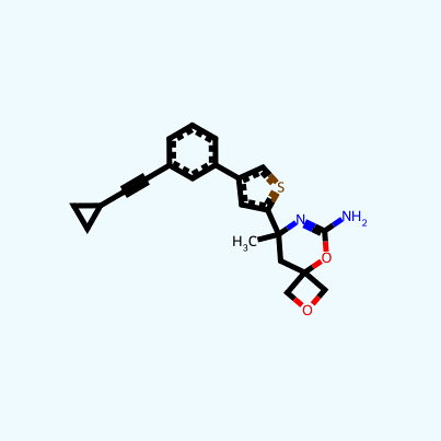 CC1(c2cc(-c3cccc(C#CC4CC4)c3)cs2)CC2(COC2)OC(N)=N1